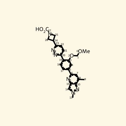 COCOc1cc(-c2cc(C)c3nn(C)cc3n2)ccc1-c1ccc(C2CN(C(=O)O)C2)nn1